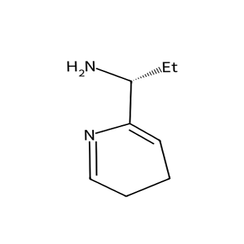 CC[C@@H](N)C1=CCCC=N1